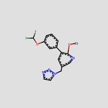 CCOc1ncc(Cn2c[c]nn2)cc1-c1cccc(OC(F)F)c1